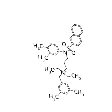 CC[N+](CC)(CCCN(c1ccc(C)c(C)c1)S(=O)(=O)c1ccc2ccccc2c1)Cc1cc(C)cc(C)c1